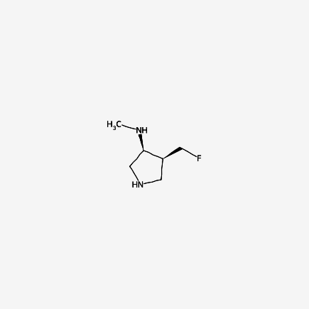 CN[C@@H]1CNC[C@@H]1CF